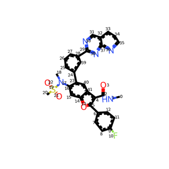 CNC(=O)c1c(-c2ccc(F)cc2)oc2cc(N(C)S(C)(=O)=O)c(-c3cccc(-c4ncc5cccnc5n4)c3)cc12